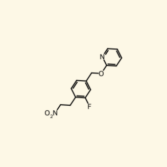 O=[N+]([O-])CCc1ccc(COc2ccccn2)cc1F